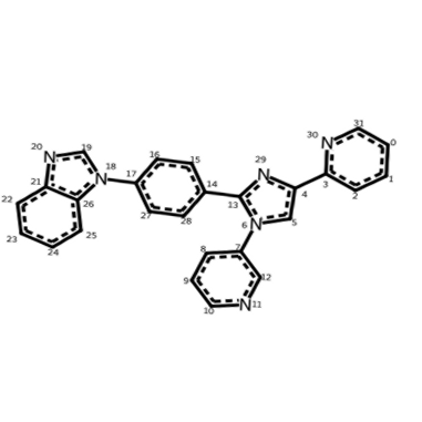 c1ccc(-c2cn(-c3cccnc3)c(-c3ccc(-n4cnc5ccccc54)cc3)n2)nc1